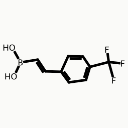 OB(O)C=Cc1ccc(C(F)(F)F)cc1